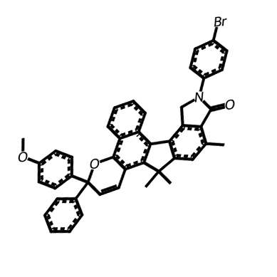 COc1ccc(C2(c3ccccc3)C=Cc3c4c(c5ccccc5c3O2)-c2c(cc(C)c3c2CN(c2ccc(Br)cc2)C3=O)C4(C)C)cc1